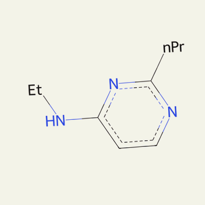 CCCc1nccc(NCC)n1